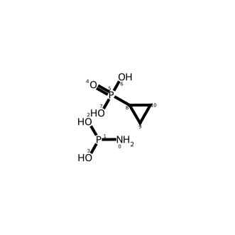 NP(O)O.O=P(O)(O)C1CC1